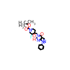 CC(C)(C)OC(=O)N1CCC(O)(Cn2cnc3c(cnn3-c3ccccc3)c2=O)C(F)C1